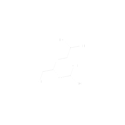 CCC(OCC(C)C)OC(C)C